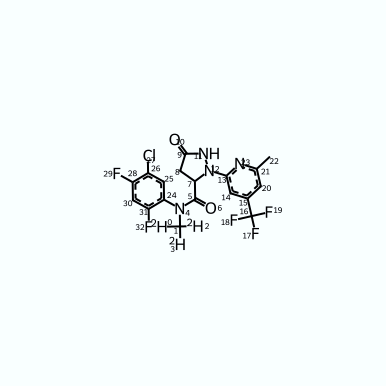 [2H]C([2H])([2H])N(C(=O)C1CC(=O)NN1c1cc(C(F)(F)F)cc(C)n1)c1cc(Cl)c(F)cc1F